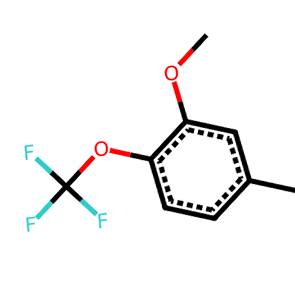 [CH2]c1ccc(OC(F)(F)F)c(OC)c1